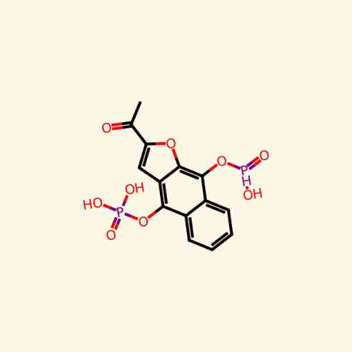 CC(=O)c1cc2c(OP(=O)(O)O)c3ccccc3c(O[PH](=O)O)c2o1